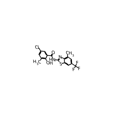 Cc1cc(Cl)cc(C(=O)Nc2nc3c(C)cc(C(F)(F)F)cc3s2)c1O